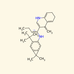 C=C1C2=CCCC=C2NC=C1/C(=C\CC)Nc1cc2c(cc1C(C)(C)C)C2(C)C